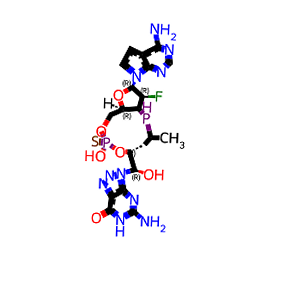 CC1C[C@H]([C@@H](O)n2nnc3c(=O)[nH]c(N)nc32)OP(O)(=S)OC[C@H]2O[C@@H](n3ccc4c(N)ncnc43)[C@@H](F)C2P1